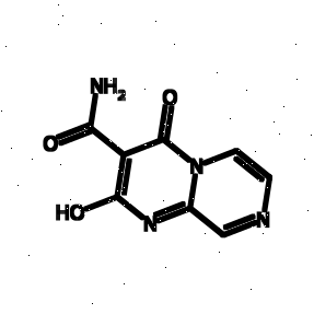 NC(=O)c1c(O)nc2cnccn2c1=O